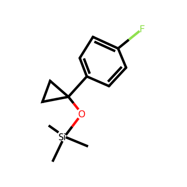 C[Si](C)(C)OC1(c2ccc(F)cc2)CC1